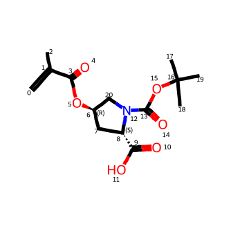 C=C(C)C(=O)O[C@@H]1C[C@@H](C(=O)O)N(C(=O)OC(C)(C)C)C1